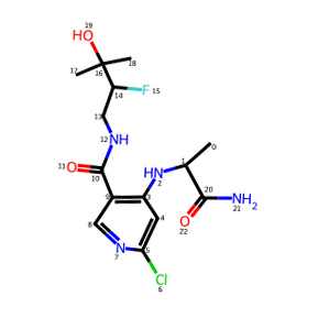 CC(Nc1cc(Cl)ncc1C(=O)NCC(F)C(C)(C)O)C(N)=O